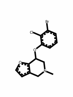 CN1Cc2ccoc2C(Oc2cccc(Br)c2Cl)C1